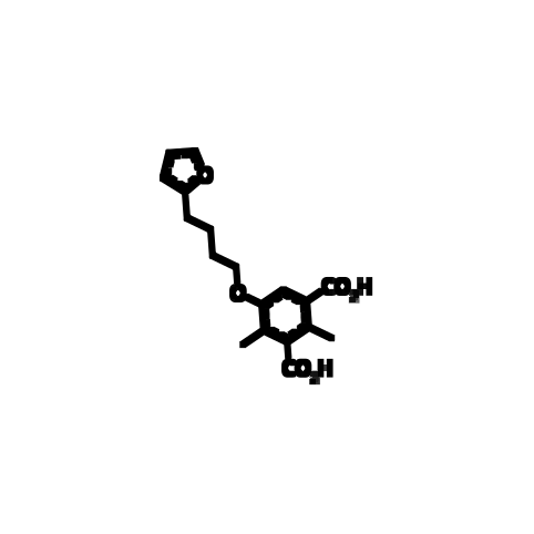 Cc1c(OCCCCc2ccco2)cc(C(=O)O)c(C)c1C(=O)O